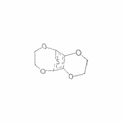 C1COc2sc(c3c2OCCO3)O1